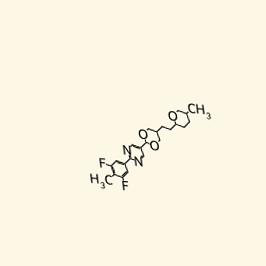 Cc1c(F)cc(-c2ncc(C3OCC(CCC4CCC(C)CO4)CO3)cn2)cc1F